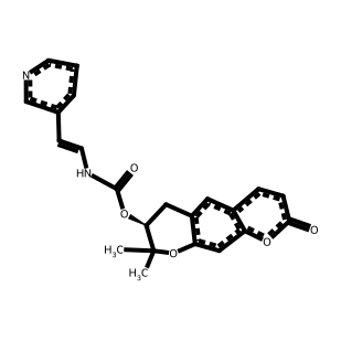 CC1(C)Oc2cc3oc(=O)ccc3cc2C[C@@H]1OC(=O)N/C=C/c1cccnc1